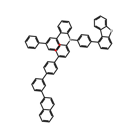 c1ccc(-c2cccc(-c3ccccc3N(c3ccc(-c4ccc(-c5cccc(-c6ccc7ccccc7c6)c5)cc4)cc3)c3ccc(-c4cccc5oc6ccccc6c45)cc3)c2)cc1